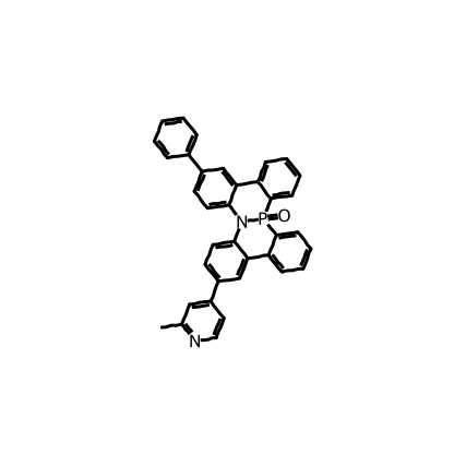 Cc1cc(-c2ccc3c(c2)-c2ccccc2P2(=O)c4ccccc4-c4cc(-c5ccccc5)ccc4N32)ccn1